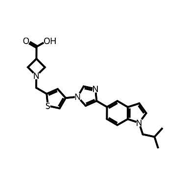 CC(C)Cn1ccc2cc(-c3cn(-c4csc(CN5CC(C(=O)O)C5)c4)cn3)ccc21